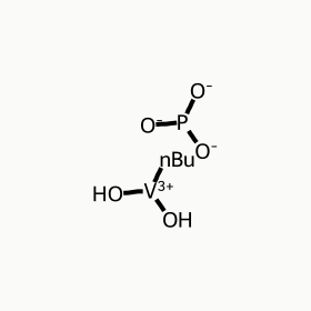 CCC[CH2][V+3]([OH])[OH].[O-]P([O-])[O-]